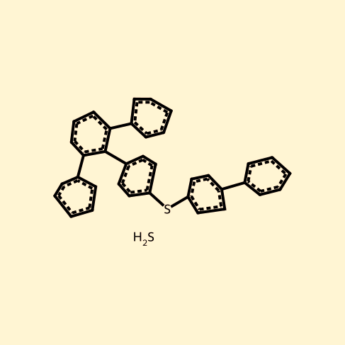 S.c1ccc(-c2ccc(Sc3ccc(-c4c(-c5ccccc5)cccc4-c4ccccc4)cc3)cc2)cc1